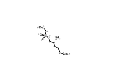 CCCCCCCCCCCCCCCOS(=O)(=O)CCCCCCCCCCC.N